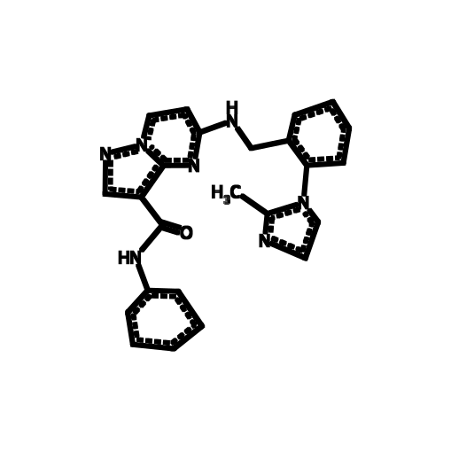 Cc1nccn1-c1ccccc1CNc1ccn2ncc(C(=O)Nc3ccccc3)c2n1